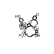 CN1CC/C=C/[C@H](O)[C@@H]2CC[C@H]2CN2CCCCc3cc(Cl)ccc3COc3ccc(cc32)[C@@](O)(C(=O)NS(=O)(=O)N2CCC(O)CC2)CC1=O